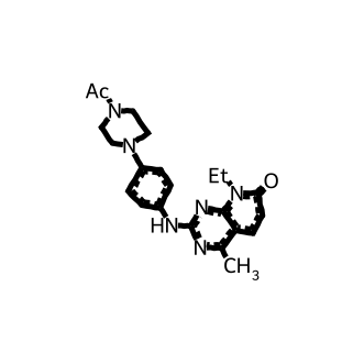 CCn1c(=O)ccc2c(C)nc(Nc3ccc(N4CCN(C(C)=O)CC4)cc3)nc21